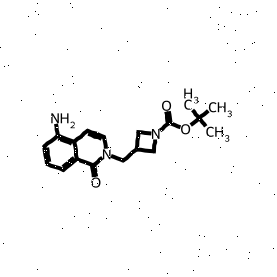 CC(C)(C)OC(=O)N1CC(Cn2ccc3c(N)cccc3c2=O)C1